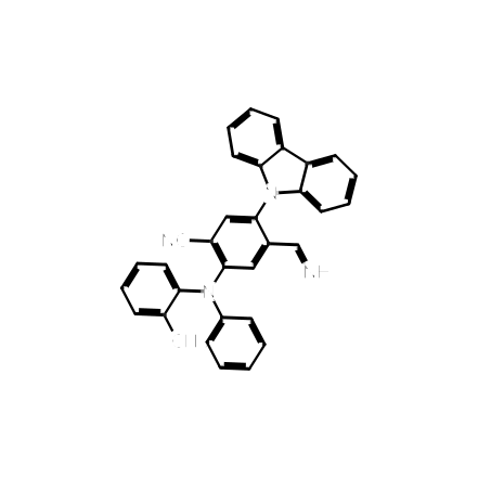 Cc1ccccc1N(c1ccccc1)c1cc(C=N)c(-n2c3ccccc3c3ccccc32)cc1C#N